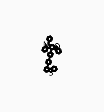 c1ccc(-c2nc3ccccc3c3c(-c4ccc(-c5ccc(-c6cccc7sc8ccccc8c67)cc5)cc4)c4c(cc23)oc2ccccc24)cc1